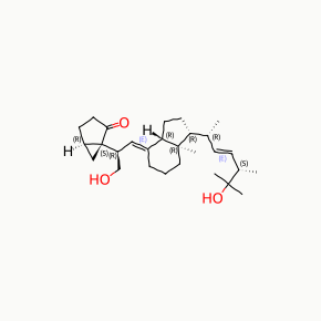 C[C@H](/C=C/[C@H](C)C(C)(C)O)[C@H]1CC[C@H]2/C(=C/[C@@H](CO)[C@]34C[C@H]3CCC4=O)CCC[C@]12C